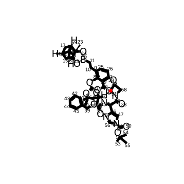 CC(C)(C)OC(=O)Oc1c(CCB2O[C@@H]3C[C@@H]4C[C@@H](C4(C)C)[C@]3(C)O2)ccc(OC2CN(C(=O)C(NC(=O)OCc3ccccc3)c3cn(C(=O)OC(C)(C)C)cn3)C2)c1C(=O)OC(C)(C)C